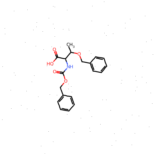 CC(OCc1ccccc1)C(NC(=O)OCc1ccccc1)C(=O)O